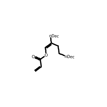 C=CC(=O)OC=C(CCCCCCCCCC)CCCCCCCCCCCC